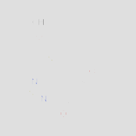 COc1ccccc1Sc1cc2c(c3nsnc13)C(=O)c1ccccc1C2=O